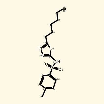 Cc1ccc(S(=O)(=O)Nc2nnc(CCCCCBr)s2)cc1